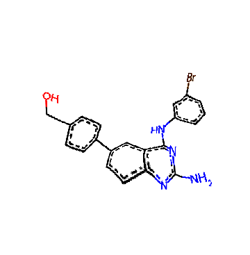 Nc1nc(Nc2cccc(Br)c2)c2cc(-c3ccc(CO)cc3)ccc2n1